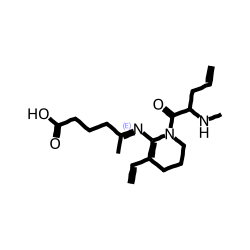 C=CCC(NC)C(=O)N1CCCC(C=C)=C1/N=C(\C)CCCC(=O)O